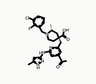 CC(=O)c1cc(C[C@@]2(C(=O)O)CCN(Cc3cccc(Cl)c3F)[C@H](C)C2)nc(Nc2cc(C)[nH]n2)c1